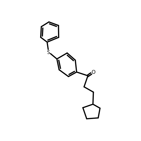 O=C(CCC1CCCC1)c1ccc(Sc2ccccc2)cc1